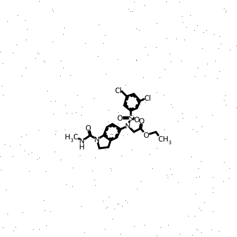 CCOC(=O)CN(c1ccc2c(c1)CCN2C(=O)NC)S(=O)(=O)c1cc(Cl)cc(Cl)c1